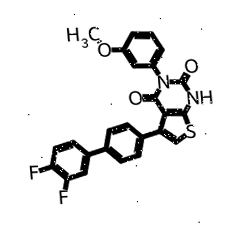 COc1cccc(-n2c(=O)[nH]c3scc(-c4ccc(-c5ccc(F)c(F)c5)cc4)c3c2=O)c1